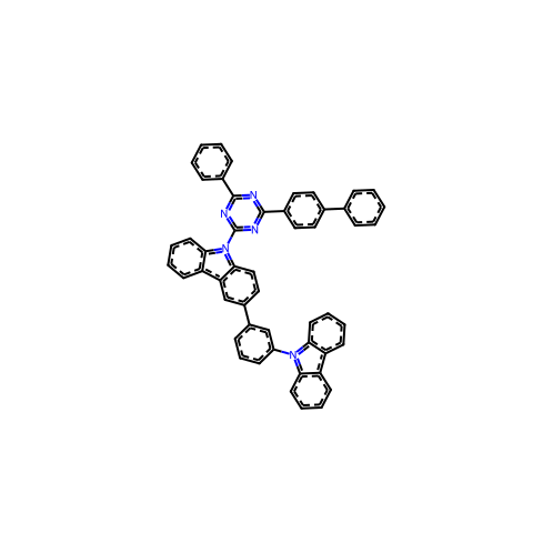 c1ccc(-c2ccc(-c3nc(-c4ccccc4)nc(-n4c5ccccc5c5cc(-c6cccc(-n7c8ccccc8c8ccccc87)c6)ccc54)n3)cc2)cc1